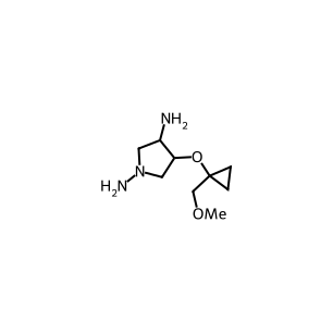 COCC1(OC2CN(N)CC2N)CC1